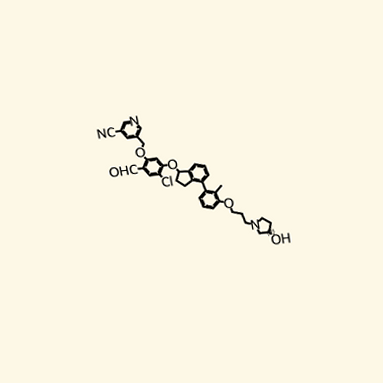 Cc1c(OCCCN2CC[C@@H](O)C2)cccc1-c1cccc2c1CCC2Oc1cc(OCc2cncc(C#N)c2)c(C=O)cc1Cl